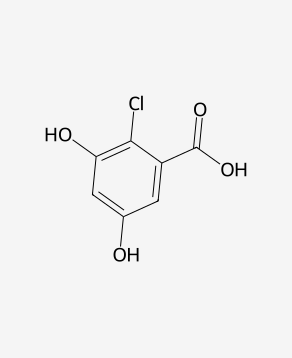 O=C(O)c1cc(O)cc(O)c1Cl